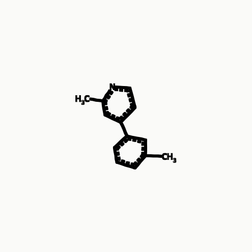 Cc1cccc(-c2ccnc(C)c2)c1